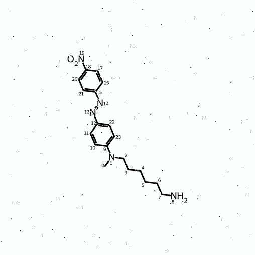 CN(CCCCCCN)c1ccc(N=Nc2ccc([N+](=O)[O-])cc2)cc1